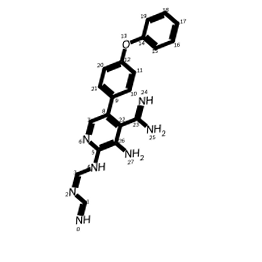 N=C/N=C\Nc1ncc(-c2ccc(Oc3ccccc3)cc2)c(C(=N)N)c1N